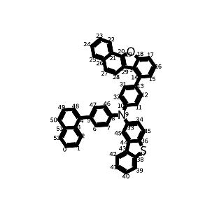 c1ccc2c(-c3ccc(N(c4ccc(-c5cccc6oc7c8ccccc8ccc7c56)cc4)c4ccc5sc6ccccc6c5c4)cc3)cccc2c1